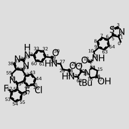 Cc1ncsc1-c1ccc(CNC(=O)[C@@H]2C[C@@H](O)CN2C(=O)C(NC(=O)CCNC(=O)c2ccc(Nc3ncc4c(n3)-c3ccc(Cl)cc3C(c3c(F)cccc3F)=NC4)cc2)C(C)(C)C)cc1